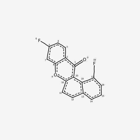 O=c1c2ccc(F)cc2oc2ccc3cccc(F)c3c12